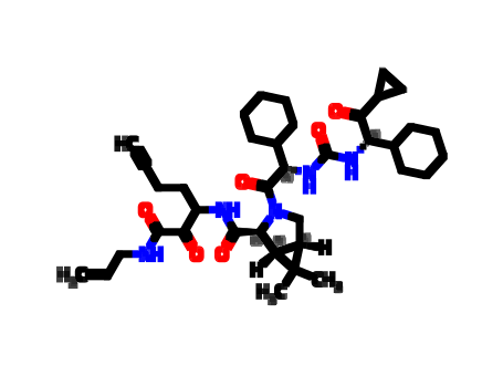 C#CCCC(NC(=O)[C@@H]1[C@@H]2[C@H](CN1C(=O)[C@@H](NC(=O)N[C@H](C(=O)C1CC1)C1CCCCC1)C1CCCCC1)C2(C)C)C(=O)C(=O)NCC=C